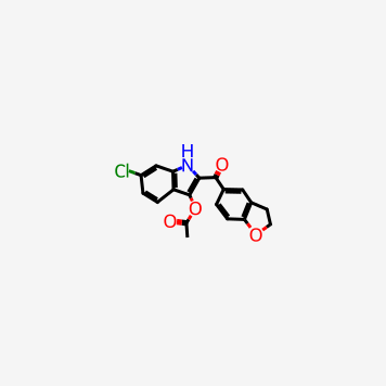 CC(=O)Oc1c(C(=O)c2ccc3c(c2)CCO3)[nH]c2cc(Cl)ccc12